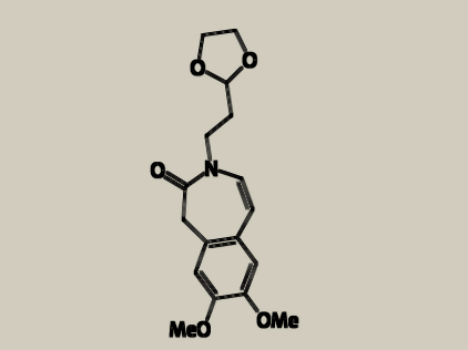 COc1cc2c(cc1OC)CC(=O)N(CCC1OCCO1)C=C2